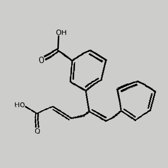 O=C(O)C=CC(=Cc1ccccc1)c1cccc(C(=O)O)c1